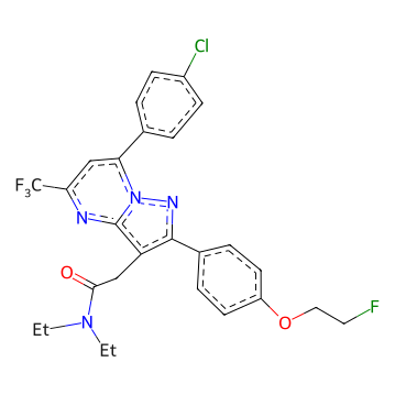 CCN(CC)C(=O)Cc1c(-c2ccc(OCCF)cc2)nn2c(-c3ccc(Cl)cc3)cc(C(F)(F)F)nc12